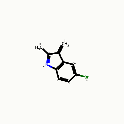 C=C1C(C)=Nc2ccc(Br)cc21